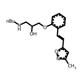 CCCCNCC(O)COc1ccccc1C=Cc1cc(C)no1